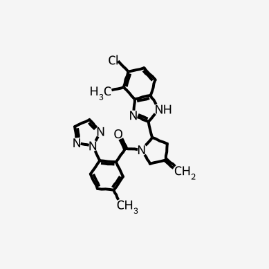 C=C1CC(c2nc3c(C)c(Cl)ccc3[nH]2)N(C(=O)c2cc(C)ccc2-n2nccn2)C1